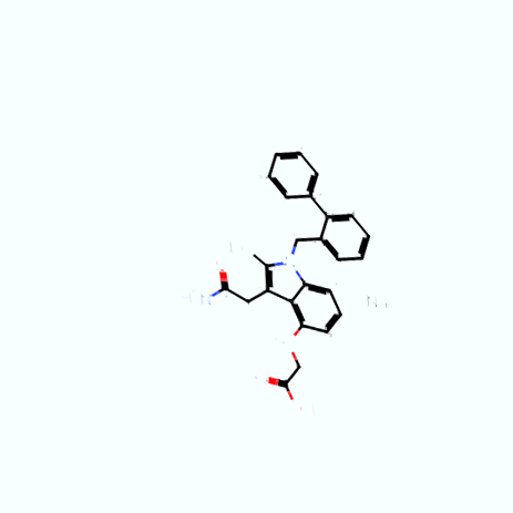 Cc1c(CC(N)=O)c2c(OCC(=O)O)cccc2n1Cc1ccccc1-c1ccccc1.[Na]